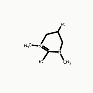 CCC1=[N+](C)CC(CC)CN1C